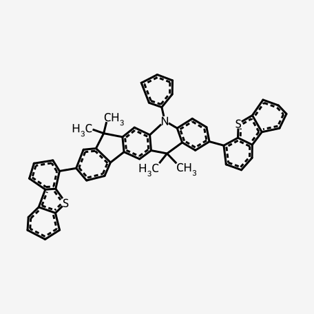 CC1(C)c2cc(-c3cccc4c3sc3ccccc34)ccc2-c2cc3c(cc21)N(c1ccccc1)c1ccc(-c2cccc4c2sc2ccccc24)cc1C3(C)C